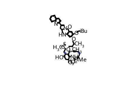 CC#C/C=C\C#C[C@H](OCC(C)C(C)COc1cc2c(cc1OCC(C)CC)C(=O)N1C=C(c3ccc4ccccc4n3)CC1CN2)C1=C(NC(=O)OC)C(=O)C[C@H](O)/C1=C/CS(C)=S